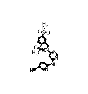 CS(=O)(=O)c1ccc(S(N)(=O)=O)cc1CNc1cc(Nc2ccc(C#N)cn2)ncn1